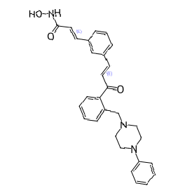 O=C(/C=C/c1cccc(/C=C/C(=O)c2ccccc2CN2CCN(c3ccccc3)CC2)c1)NO